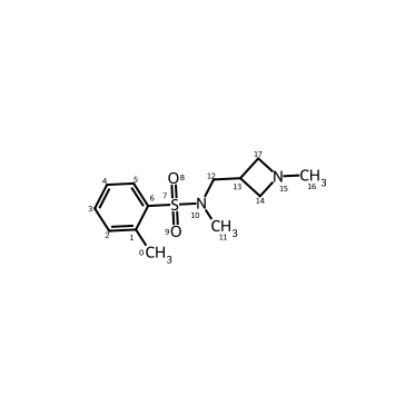 Cc1ccccc1S(=O)(=O)N(C)CC1CN(C)C1